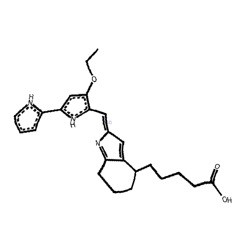 CCOc1cc(-c2ccc[nH]2)[nH]c1/C=C1/C=C2C(=N1)CCCC2CCCCC(=O)O